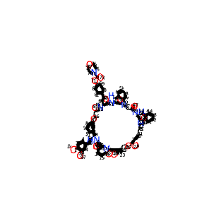 COc1ccc(CC[C@H]2NC(=O)[C@@H]3CCCCN3C(=O)C(=O)C(C)(C)COC(=O)/C=C/CCN(C)C(=O)[C@@H](Cc3ccccc3)NC(=O)CN(C)C(=O)[C@@H](Cc3ccccc3)NC(=O)[C@H](CCc3ccc(OC(=O)N4CCOCC4)cc3)N(C)C(=O)COc3cccc2c3)cc1OC